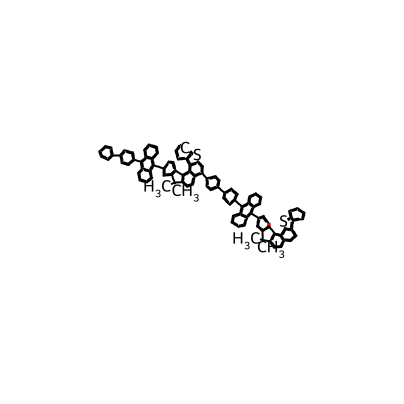 CC1(C)c2cc(-c3c4ccccc4c(-c4ccc(-c5ccc(-c6cc7sc8ccccc8c7c7c8c(ccc67)C(C)(C)c6cc(-c7c9ccccc9c(-c9ccc(-c%10ccccc%10)cc9)c9ccccc79)ccc6-8)cc5)cc4)c4ccccc34)ccc2-c2c1ccc1ccc3c4ccccc4sc3c21